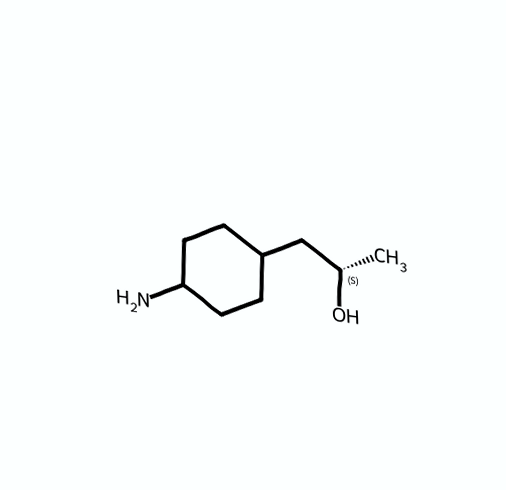 C[C@H](O)CC1CCC(N)CC1